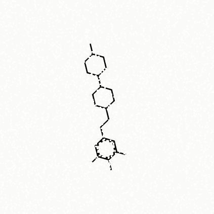 Cc1c(F)cc(CCC2CCC(C3CCC(C)CC3)CC2)cc1F